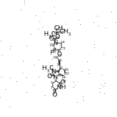 Cn1c(=O)n(C2CCC(=O)NC2=O)c2cccc(C#CCO[C@H]3CCN(C(=O)OC(C)(C)C)C[C@@H]3F)c21